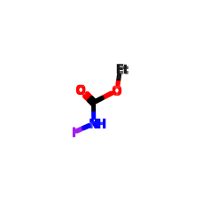 CCOC(=O)NI